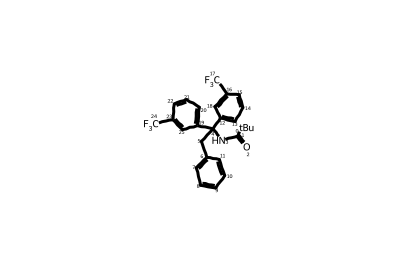 CC(C)(C)C(=O)NC(Cc1ccccc1)(c1cccc(C(F)(F)F)c1)c1cccc(C(F)(F)F)c1